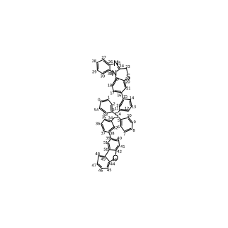 c1ccc(S(c2ccccc2)(c2cccc(-c3ccc4c(c3)SCc3nc5ccccc5n3-4)c2)c2cccc(-c3ccc4oc5ccccc5c4c3)c2)cc1